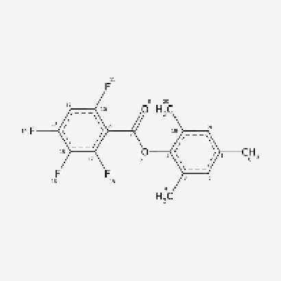 Cc1cc(C)c(OC(=O)c2c(F)cc(F)c(F)c2F)c(C)c1